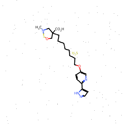 CN1CC(CCCCCCCCOc2ccc(-c3ccn[nH]3)nc2)(C(=O)O)COS1.S